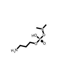 CN(C)OP(=O)(O)OCCCN